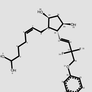 OC(O)CCC/C=C\C[C@@H]1[C@@H](/C=C/C(F)(F)COc2ccccc2)[C@H](O)C[C@@H]1O